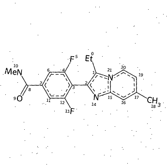 CCc1c(-c2c(F)cc(C(=O)NC)cc2F)nc2cc(C)ccn12